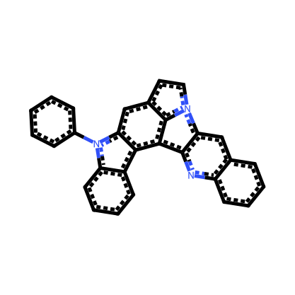 c1ccc(-n2c3ccccc3c3c4c5nc6ccccc6cc5n5ccc(cc32)c45)cc1